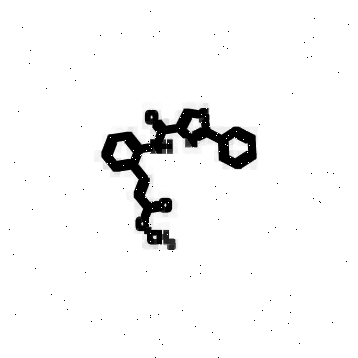 COC(=O)C=Cc1ccccc1NC(=O)c1csc(-c2ccccc2)n1